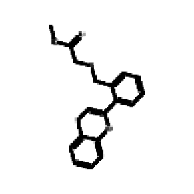 COC(=O)CSCc1ccccc1C1=COc2ccccc2O1